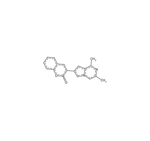 Cc1cn2cc(-c3cc4ccccc4oc3=O)cc2c(C)n1